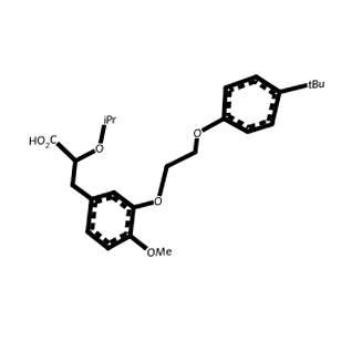 COc1ccc(CC(OC(C)C)C(=O)O)cc1OCCOc1ccc(C(C)(C)C)cc1